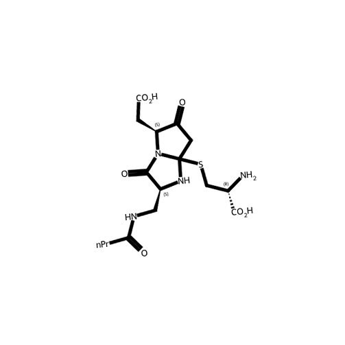 CCCC(=O)NC[C@@H]1NC2(SC[C@H](N)C(=O)O)CC(=O)[C@H](CC(=O)O)N2C1=O